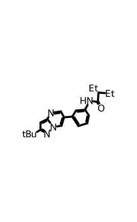 CCC(CC)C(=O)Nc1cccc(-c2cnc3cc(C(C)(C)C)nn3c2)c1